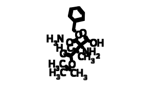 CC(C)(C)OC(=O)C(C)(C)C(N)(C(=O)O)C(=O)OCc1ccccc1.N